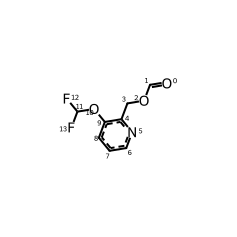 O=COCc1ncccc1OC(F)F